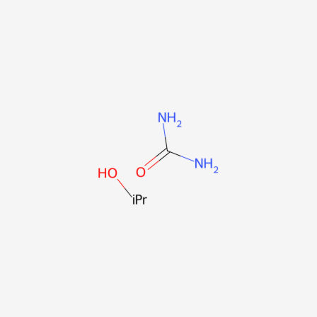 CC(C)O.NC(N)=O